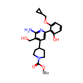 CC(C)(C)OC(=O)N1CCC(c2cc(-c3c(O)cccc3OCC3CC3)nc(N)c2CO)CC1